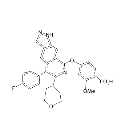 COc1cc(Oc2nc(C3CCOCC3)c(-c3ccc(F)cc3)c3cc4cn[nH]c4cc23)ccc1C(=O)O